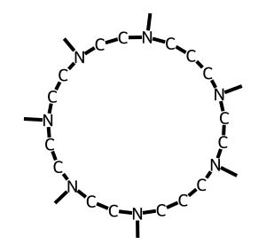 CN1CCCN(C)CCN(C)CCN(C)CCN(C)CCN(C)CCCN(C)CC1